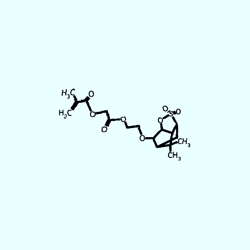 C=C(C)C(=O)OCC(=O)OCCOC1C2OS(=O)(=O)C3CC1C(C)(C)C23